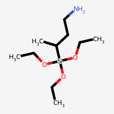 CCO[Si](OCC)(OCC)C(C)CCN